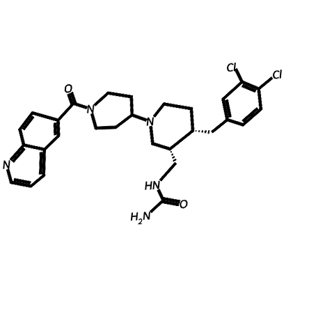 NC(=O)NC[C@@H]1CN(C2CCN(C(=O)c3ccc4ncccc4c3)CC2)CC[C@@H]1Cc1ccc(Cl)c(Cl)c1